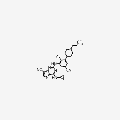 N#Cc1cc(Nc2nc(NC3CC3)c3ncc(C#N)n3n2)c(Cl)c(C2CCN(CCC(F)(F)F)CC2)c1